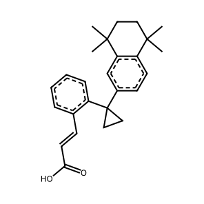 CC1(C)CCC(C)(C)c2cc(C3(c4ccccc4C=CC(=O)O)CC3)ccc21